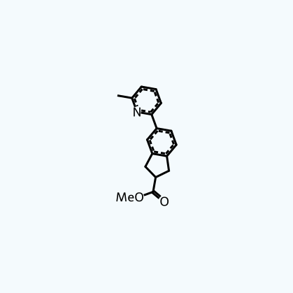 COC(=O)C1Cc2ccc(-c3cccc(C)n3)cc2C1